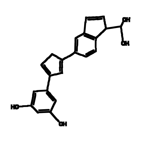 Oc1cc(O)cc(C2=CCC(c3ccc4c(c3)C=CC4C(O)O)=C2)c1